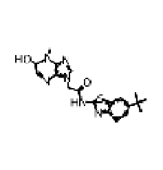 CN1c2ncn(CC(=O)Nc3nc4ccc(C(C)(C)C)cc4s3)c2N=CC1O